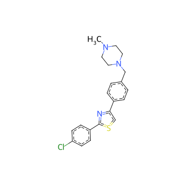 CN1CCN(Cc2ccc(-c3csc(-c4ccc(Cl)cc4)n3)cc2)CC1